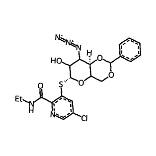 CCNC(=O)c1ncc(Cl)cc1S[C@H]1OC2COC(c3ccccc3)O[C@@H]2C(N=[N+]=[N-])C1O